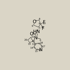 CN(C(=O)N[C@@H]1COCC1(F)F)C1(c2ccncc2)CCC1